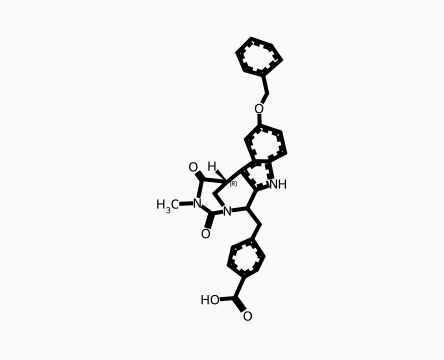 CN1C(=O)[C@H]2CN(C1=O)C(Cc1ccc(C(=O)O)cc1)c1[nH]c3ccc(OCc4ccccc4)cc3c12